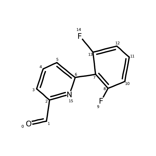 O=Cc1cccc(-c2c(F)cccc2F)n1